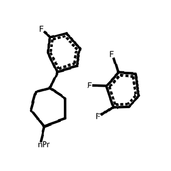 CCCC1CCC(c2cccc(F)c2)CC1.Fc1cccc(F)c1F